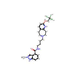 Cn1cc2c(C(=O)NCCCCN3CCc4ccc(OCC(F)(F)F)nc4CC3)cccc2n1